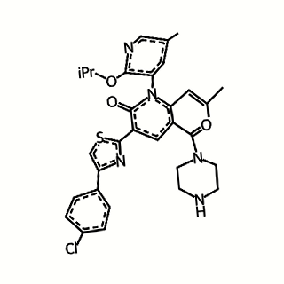 CC(C)=Cc1c(C(=O)N2CCNCC2)cc(-c2nc(-c3ccc(Cl)cc3)cs2)c(=O)n1-c1cc(C)cnc1OC(C)C